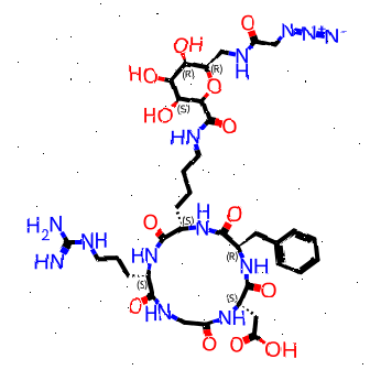 [N-]=[N+]=NCC(=O)NC[C@H]1OC(C(=O)NCCCC[C@@H]2NC(=O)[C@@H](Cc3ccccc3)NC(=O)[C@H](CC(=O)O)NC(=O)CNC(=O)[C@H](CCCNC(=N)N)NC2=O)[C@@H](O)C(O)[C@H]1O